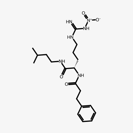 CC(C)CCNC(=O)[C@H](CCCNC(=N)N[N+](=O)[O-])NC(=O)CCc1ccccc1